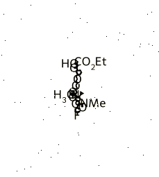 CCOC(=O)C(O)=CC(=O)c1cccc(COCCOCCCN(c2cc3oc(-c4ccc(F)cc4)c(C(=O)NC)c3cc2C2CC2)S(C)(=O)=O)c1